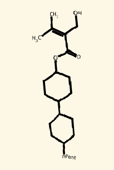 CCCCCC1CCC(C2CCC(OC(=O)C(CO)=C(C)C)CC2)CC1